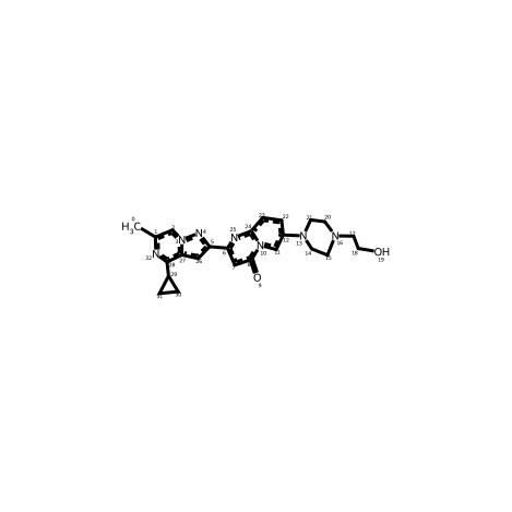 Cc1cn2nc(-c3cc(=O)n4cc(N5CCN(CCO)CC5)ccc4n3)cc2c(C2CC2)n1